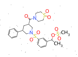 CC(OS(C)(=O)=O)c1cccc(S(=O)(=O)N2CC(C(=O)N3CCS(=O)(=O)CC3)CC(c3ccccc3)C2)c1